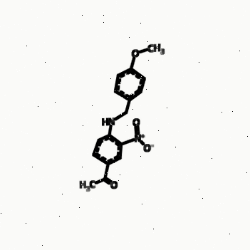 COc1ccc(CNc2ccc(C(C)=O)cc2[N+](=O)[O-])cc1